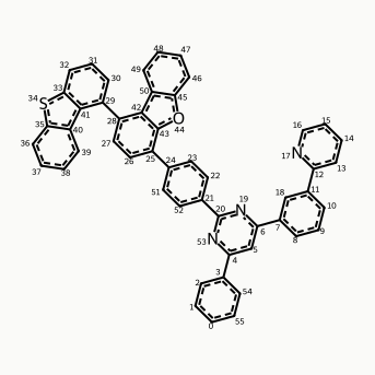 c1ccc(-c2cc(-c3cccc(-c4ccccn4)c3)nc(-c3ccc(-c4ccc(-c5cccc6sc7ccccc7c56)c5c4oc4ccccc45)cc3)n2)cc1